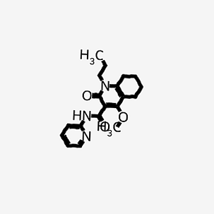 CCCn1c2c(c(OC)c(C(=O)Nc3ccccn3)c1=O)CCCC2